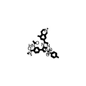 CC(=O)Nc1cc(-c2cn(S(=O)(=O)c3ccc(C)cc3)c3ncc(-c4cc(C)c5c(c4)CN(C)CC5)nc23)ccc1C(=O)N(C)C